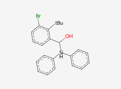 CC(C)(C)c1c(Br)cccc1C(O)[SiH](c1ccccc1)c1ccccc1